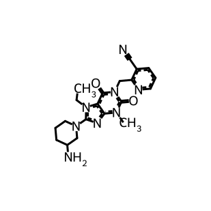 CCn1c(N2CCCC(N)C2)nc2c1c(=O)n(Cc1ncccc1C#N)c(=O)n2C